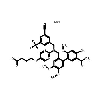 COc1cc(CN(Cc2cc(C#N)cc(C(F)(F)F)c2)c2ncc(OCCCC(=O)O)cn2)c(-c2cc(C(C)C)c(C)cc2OC)cc1OC.[NaH]